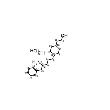 Cl.Cl.N[C@@H](CCCN1CCC(CCO)CC1)Cc1ccccc1